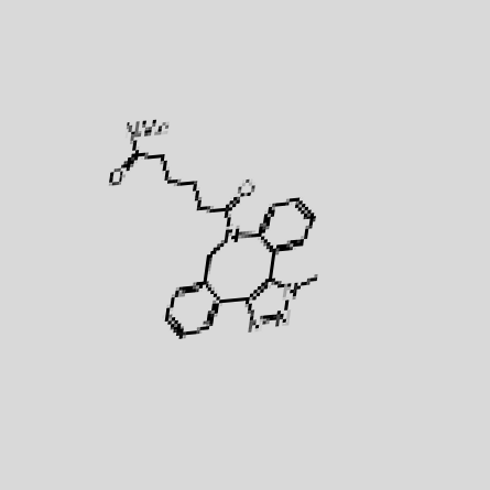 CNC(=O)CCCCC(=O)N1Cc2ccccc2-c2nnn(C)c2-c2ccccc21